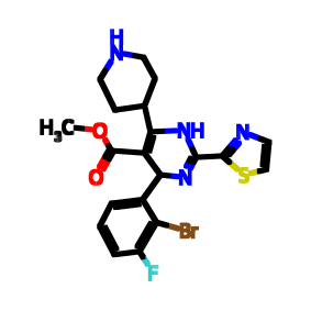 COC(=O)C1=C(C2CCNCC2)NC(c2nccs2)=NC1c1cccc(F)c1Br